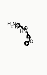 Nc1ccc(/C=C/C(=O)NCC2C3CN(C(=O)c4ccccc4)CC23)cn1